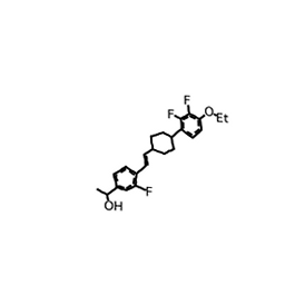 CCOc1ccc(C2CCC(/C=C/c3ccc(C(C)O)cc3F)CC2)c(F)c1F